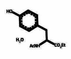 CCOC(=O)C(Cc1ccc(O)cc1)NC(C)=O.O